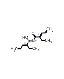 C=C/C=C(\CC)B(O)NC(=O)/C(=C/C=C)CC